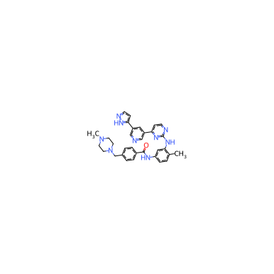 Cc1ccc(NC(=O)c2ccc(CN3CCN(C)CC3)cc2)cc1Nc1nccc(-c2cncc(-c3ccn[nH]3)c2)n1